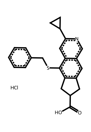 Cl.O=C(O)C1Cc2cc3cnc(C4CC4)cc3c(SCc3ccccc3)c2C1